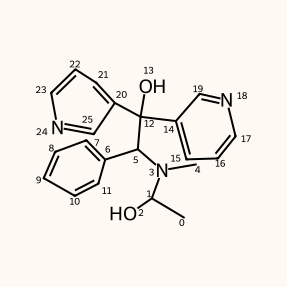 CC(O)N(C)C(c1ccccc1)C(O)(c1cccnc1)c1cccnc1